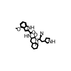 COc1cccc2[nH]c(C(=O)NC(CC3CCCCC3)C(=O)NC(C#N)CC3CCNC3)cc12